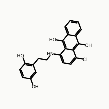 Oc1ccc(O)c(CCNc2ccc(Cl)c3c(O)c4ccccc4c(O)c23)c1